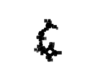 C=Cc1cc(OCCCC2CCN(C(=O)[C@H](O)CSCCNC(=O)C(C)NC(=O)CN3CCN(CC(=O)O)CCN(CC(=O)O)CCN(CC(=O)O)CC3)CC2)ccc1N=C